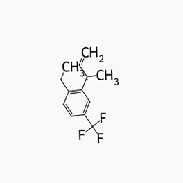 C=C[C](C)c1cc(C(F)(F)F)ccc1CC